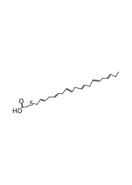 CCC=CCC=CCC=CCC=CCC=CCC=CCSCC(=O)O